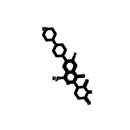 Cc1nn(C2CCC(=O)NC2=O)c(=O)c2cc(F)c(N3CCN(C4CCNCC4)CC3)cc12